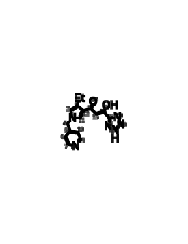 CCc1cn(Cc2ccncc2)cc1C(=O)C=C(O)c1nn[nH]n1